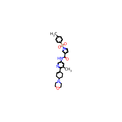 Cc1ccc(S(=O)(=O)n2ccc(C(=O)Nc3cnc(C4=CCC(N5CCOCC5)CC4)c(C)c3)c2)cc1